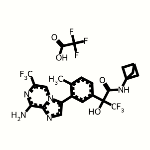 Cc1ccc(C(O)(C(=O)NC23CC(C2)C3)C(F)(F)F)cc1-c1cnc2c(N)nc(C(F)(F)F)cn12.O=C(O)C(F)(F)F